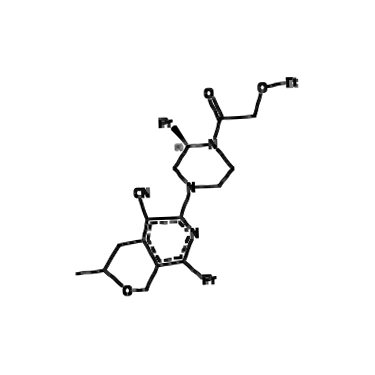 CCOCC(=O)N1CCN(c2nc(C(C)C)c3c(c2C#N)CC(C)OC3)C[C@H]1C(C)C